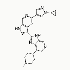 CN1CCC(c2cncc3[nH]c(-c4n[nH]c5cnc(-c6cnn(C7CC7)c6)cc45)nc23)CC1